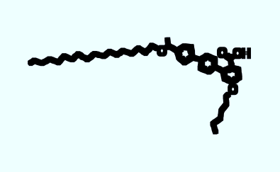 CCCCCCCCCCCCCCCCCCOC(C)c1ccc(-c2ccc(-c3cc(OCCCCCC)ccc3C(=O)O)cc2)cc1